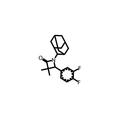 CC1(C)C(=O)N(C2C3CC4CC(C3)CC2C4)C1c1ccc(F)c(F)c1